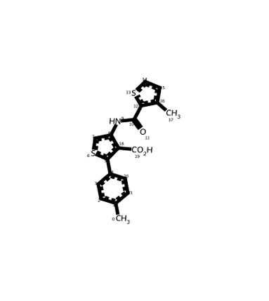 Cc1ccc(-c2scc(NC(=O)c3sccc3C)c2C(=O)O)cc1